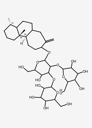 C=C1CC2CCC3[C@@H](C)CCC[C@@]3(C)[C@@H]2CCC1OC1OC(CO)C(O)C(OC2OC(CO)C(O)C(O)C2O)C1OC1OC(CO)C(O)C(O)C1O